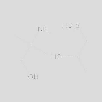 CC(C)(N)CO.CC(O)CS(=O)(=O)O